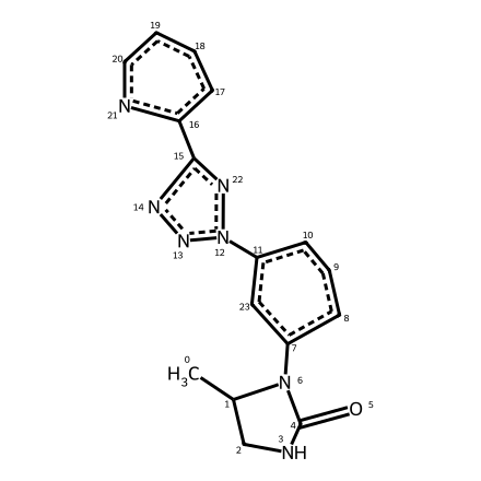 CC1CNC(=O)N1c1cccc(-n2nnc(-c3ccccn3)n2)c1